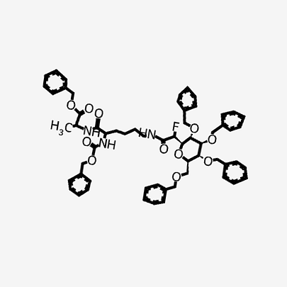 CC(NC(=O)C(CCCCNC(=O)C(F)[C@@H]1O[C@H](COCc2ccccc2)[C@@H](OCc2ccccc2)[C@H](OCc2ccccc2)[C@H]1OCc1ccccc1)NC(=O)OCc1ccccc1)C(=O)OCc1ccccc1